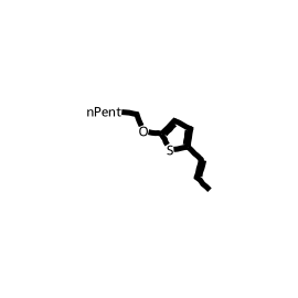 CC=Cc1ccc(OCCCCCC)s1